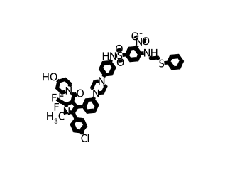 CN1C(c2ccc(Cl)cc2)=C(c2cccc(N3CCN(c4ccc(NS(=O)(=O)c5ccc(NCCSc6ccccc6)c([N+](=O)[O-])c5)cc4)CC3)c2)C(C(=O)N2CCC(O)CC2)C1C(F)(F)F